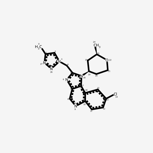 Cc1cn(Cc2nc3cnc4ccc(Cl)cc4c3n2[C@@H]2CCO[C@H](C)C2)nn1